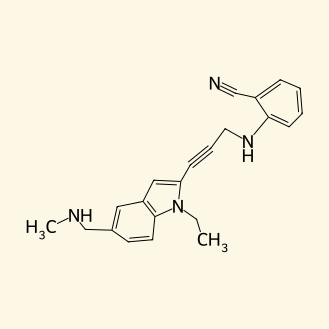 CCn1c(C#CCNc2ccccc2C#N)cc2cc(CNC)ccc21